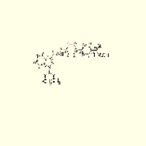 CCC(CC)n1cc(CNCC2CCN(c3ncc(C(=O)NO)cn3)CC2)c2ccccc21